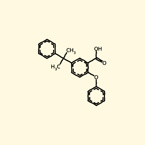 CC(C)(c1ccccc1)c1ccc(Oc2ccccc2)c(C(=O)O)c1